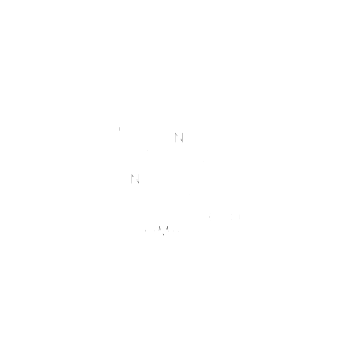 COc1nc(Cl)ncc1C=O